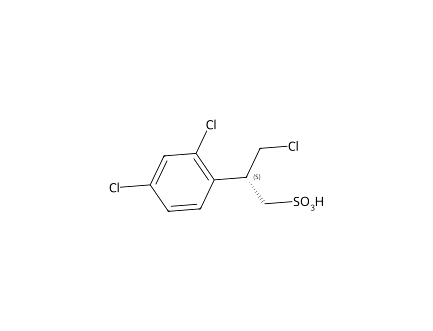 O=S(=O)(O)C[C@@H](CCl)c1ccc(Cl)cc1Cl